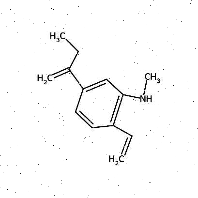 C=Cc1ccc(C(=C)CC)cc1NC